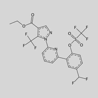 CCOC(=O)c1cnn(-c2cccc(-c3cc(C(F)F)ccc3OS(=O)(=O)C(F)(F)F)n2)c1C(F)(F)F